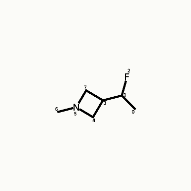 CC(F)C1CN(C)C1